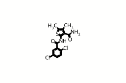 Cc1sc(NC(=O)c2cc(Cl)ccc2Cl)c(C(N)=O)c1C